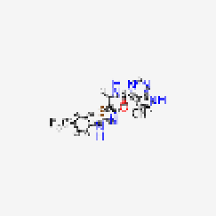 [C-]#[N+]c1c[nH]c2ncnc(C(=O)NC(C)c3cnc(Nc4ccc(C(F)(F)F)cc4)s3)c12